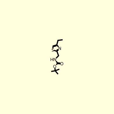 CCc1csc(CNC(=O)OC(C)(C)C)n1